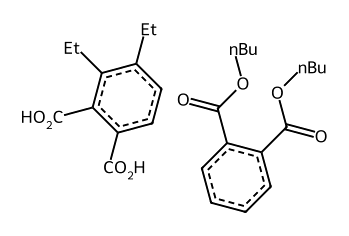 CCCCOC(=O)c1ccccc1C(=O)OCCCC.CCc1ccc(C(=O)O)c(C(=O)O)c1CC